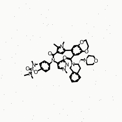 Cc1c(C(=O)N(c2ccc(OP(=O)(N(C)C)N(C)C)cc2)c2cnn(C)c2)cc(-c2cc3c(cc2C(=O)N2Cc4ccccc4C[C@H]2CN2CCOCC2)OCCO3)n1C